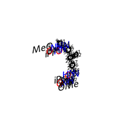 COC(=O)N[C@H](C(=O)N1C2CC2C[C@@H]1c1nc2ccc(-c3ccc(-c4ccc(-c5cnc([C@@H]6CC7CC7N6C(=O)[C@@H](NC(=O)OC)C(C)C)[nH]5)cc4)c4c3C3CCC4C3)cc2[nH]1)C(C)C